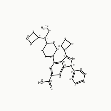 CCN(C1CCN(c2cc(C(=O)O)nc3c2c(C2CCC2)nn3-c2ccccc2)CC1)C1COC1